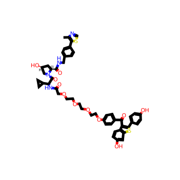 Cc1ncsc1-c1ccc(CNC(=O)[C@@H]2C[C@@H](O)CN2C(=O)C(NC(=O)COCCOCCOCCOc2ccc(C(=O)c3c(-c4ccc(O)cc4)sc4cc(O)ccc34)cc2)C2CC2)cc1